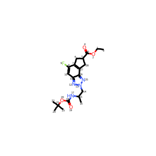 CCOC(=O)C1Cc2c(F)cc3nn(CC(C)NC(=O)OC(C)(C)C)nc3c2C1